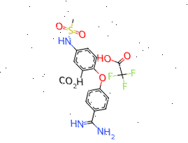 CS(=O)(=O)Nc1ccc(Oc2ccc(C(=N)N)cc2)c(C(=O)O)c1.O=C(O)C(F)(F)F